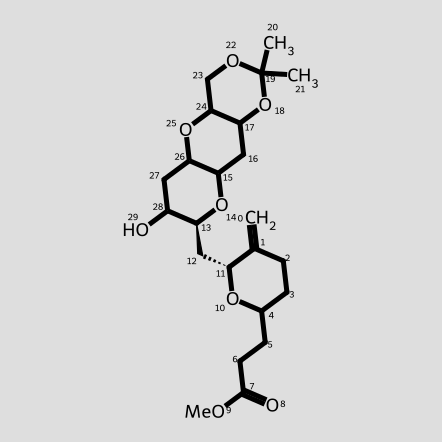 C=C1CCC(CCC(=O)OC)O[C@@H]1C[C@@H]1OC2CC3OC(C)(C)OCC3OC2CC1O